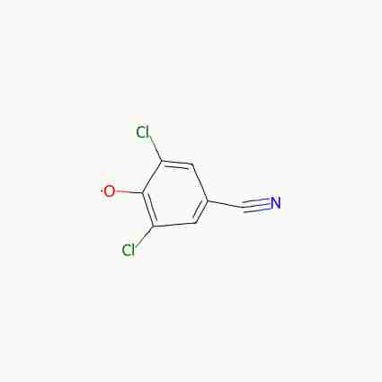 N#Cc1cc(Cl)c([O])c(Cl)c1